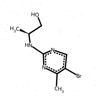 Cc1nc(N[C@@H](C)CO)ncc1Br